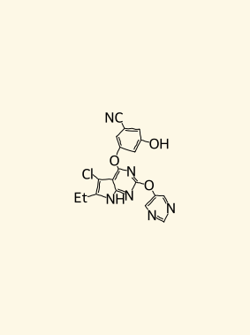 CCc1[nH]c2nc(Oc3cncnc3)nc(Oc3cc(O)cc(C#N)c3)c2c1Cl